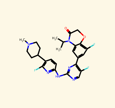 CC(C)N1C(=O)COc2c(F)cc(-c3nc(Nc4ccc(C5CCN(C)CC5)c(F)n4)ncc3F)cc21